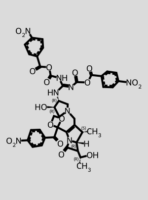 C[C@@H](O)C1C(=O)N2C(C3(C(=O)c4ccc([N+](=O)[O-])cc4)OCO3)=C(CN3C[C@@H](O)[C@H](NC(=NC(=O)OC(=O)c4ccc([N+](=O)[O-])cc4)NC(=O)OC(=O)c4ccc([N+](=O)[O-])cc4)C3)[C@H](C)[C@H]12